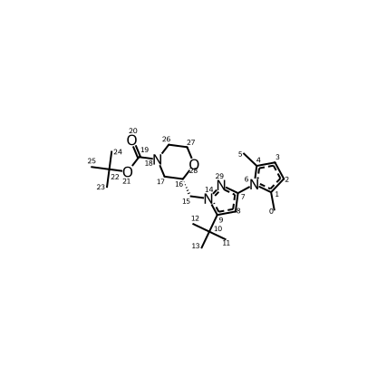 Cc1ccc(C)n1-c1cc(C(C)(C)C)n(C[C@@H]2CN(C(=O)OC(C)(C)C)CCO2)n1